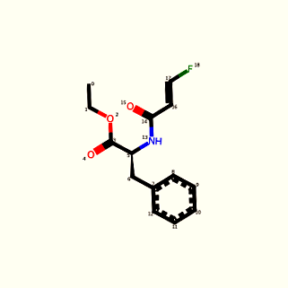 CCOC(=O)[C@H](Cc1ccccc1)NC(=O)C=CF